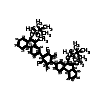 Cc1c(O[Si](C)(C)C(C)(C)C)c2ccccc2c2ccc(-c3c(F)c(F)c(-c4ccc5c(c4)c(O[Si](C)(C)C(C)(C)C)c(C)c4ccccc45)c(F)c3F)cc12